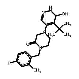 Cc1cc(F)ccc1CN1CCN(C2=C(C(C)(C)C)C(O)NN=C2)CC1=O